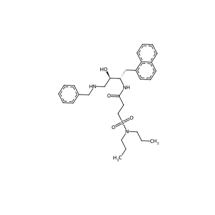 CCCN(CCC)S(=O)(=O)CCC(=O)N[C@@H](Cc1cccc2ccccc12)[C@H](O)CNCc1ccccc1